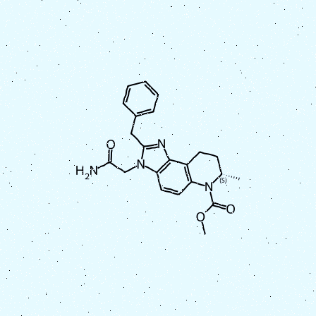 COC(=O)N1c2ccc3c(nc(Cc4ccccc4)n3CC(N)=O)c2CC[C@@H]1C